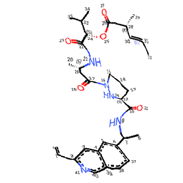 C=Cc1cc2cc(C(C)NC(=O)[C@@H]3CCCN(C(=O)[C@H](C)NC(=O)[C@@H](OC(=O)[C@H](C)/C=C/C)C(C)C)N3)ccc2cn1